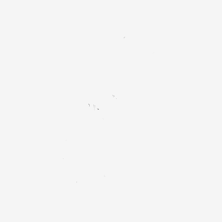 C1=C(c2ccccc2)N=C1c1ccccc1